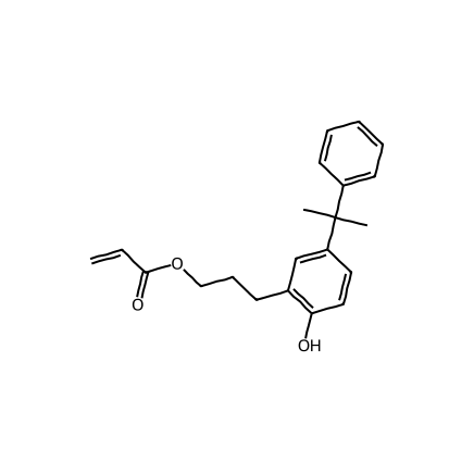 C=CC(=O)OCCCc1cc(C(C)(C)c2ccccc2)ccc1O